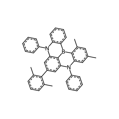 Cc1cc(C)c2c(c1)N(c1ccccc1)c1cc(-c3c(C)cccc3C)cc3c1B2c1ccccc1N3c1ccccc1